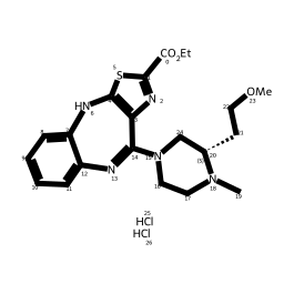 CCOC(=O)c1nc2c(s1)Nc1ccccc1N=C2N1CCN(C)[C@@H](CCOC)C1.Cl.Cl